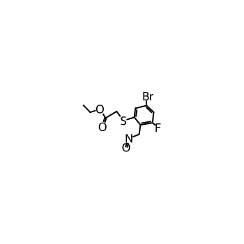 CCOC(=O)CSc1cc(Br)cc(F)c1CN=O